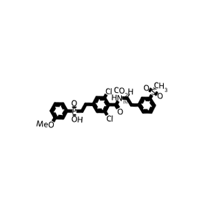 COc1cccc(P(=O)(O)CCc2cc(Cl)c(C(=O)N[C@@H](Cc3cccc(S(C)(=O)=O)c3)C(=O)O)c(Cl)c2)c1